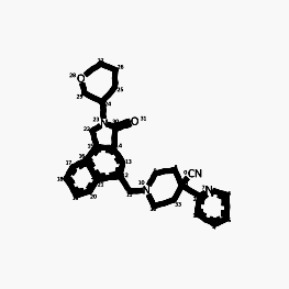 N#CC1(c2ccccn2)CCN(Cc2cc3c(c4ccccc24)CN(C2CCCOC2)C3=O)CC1